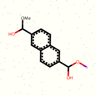 COC(O)c1ccc2cc(C(O)OI)ccc2c1